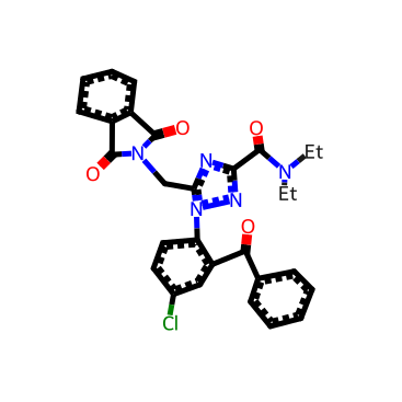 CCN(CC)C(=O)c1nc(CN2C(=O)c3ccccc3C2=O)n(-c2ccc(Cl)cc2C(=O)c2ccccc2)n1